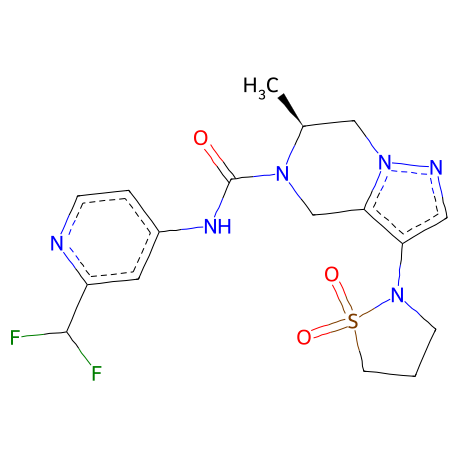 C[C@H]1Cn2ncc(N3CCCS3(=O)=O)c2CN1C(=O)Nc1ccnc(C(F)F)c1